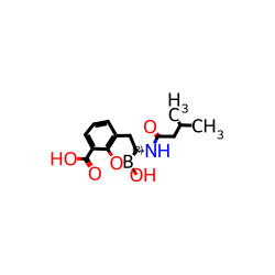 CC(C)CC(=O)N[C@H]1Cc2cccc(C(=O)O)c2OB1O